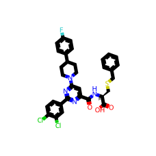 O=C(N[C@@H](CSCc1ccccc1)C(=O)O)c1cc(N2CCC(c3ccc(F)cc3)CC2)nc(-c2ccc(Cl)c(Cl)c2)n1